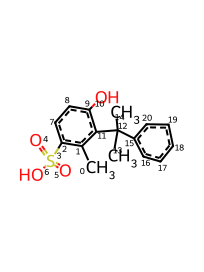 Cc1c(S(=O)(=O)O)ccc(O)c1C(C)(C)c1ccccc1